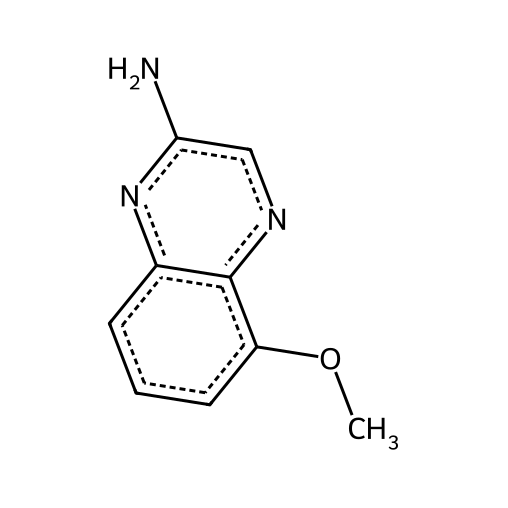 COc1cccc2nc(N)cnc12